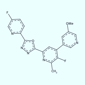 COc1cncc(-c2cc(-c3nnc(-c4ccc(F)cn4)o3)nc(C)c2F)c1